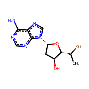 CC(S)[C@H]1O[C@@H](n2cnc3c(N)ncnc32)C[C@@H]1O